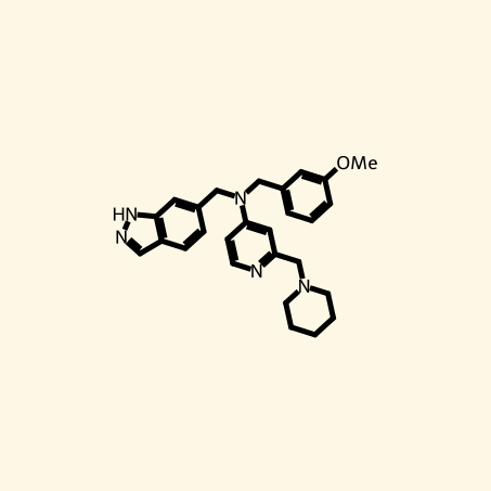 COc1cccc(CN(Cc2ccc3cn[nH]c3c2)c2ccnc(CN3CCCCC3)c2)c1